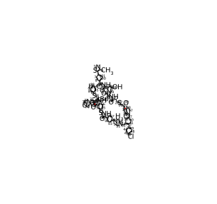 Cc1ncsc1-c1ccc([C@H](C)NC(=O)[C@@H]2C[C@@H](O)CN2C(=O)[C@@H](NC(=O)CCSCC(=O)N2CCN(CC3(C)CCC(c4ccc(Cl)cc4)=C(CN4CCN(c5ccc(C(=O)NSc6ccc(N[C@H](CCN7CCOCC7)CSc7ccccc7)c(S(=O)(=O)C(F)(F)F)c6)cc5)CC4)C3)CC2)C(C)(C)C)cc1